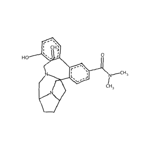 C=CCN1CCC2CCC(C1)N2Cc1ccc(C(=O)N(C)C)cc1-c1cccc(O)c1